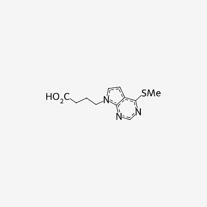 CSc1ncnc2c1ccn2CCCC(=O)O